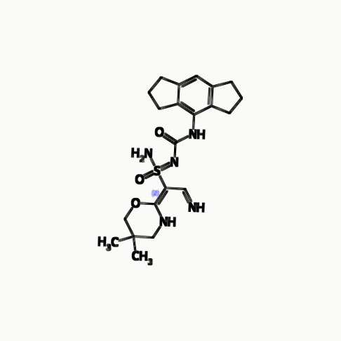 CC1(C)CN/C(=C(\C=N)S(N)(=O)=NC(=O)Nc2c3c(cc4c2CCC4)CCC3)OC1